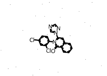 O=c1c2ccccc2cc(-n2cncn2)n1-c1ccc(Cl)cc1Cl